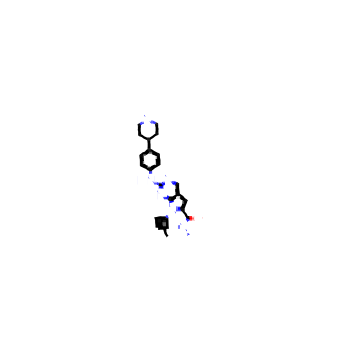 C[C@@H]1C2CC1(n1c(C(=O)N(C)C)cc3cnc(Nc4ccc(C5CCNCC5)cc4)nc31)C2